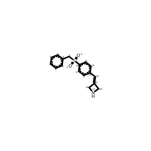 O=S(=O)(Cc1ccccc1)c1ccc(C=C2CNC2)cc1